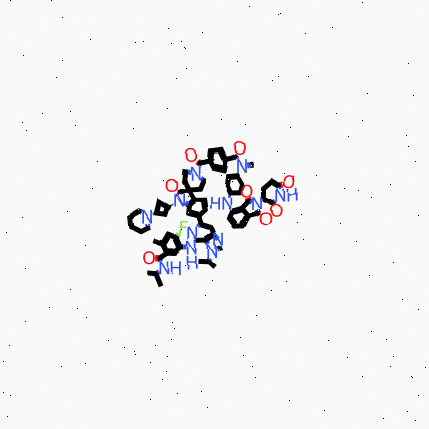 Cc1cc(F)c(Nc2nc(-c3ccc4c(c3)N([C@H]3C[C@@H](N5CCCCC5)C3)C(=O)C43CCN(C(=O)c4ccc(C(=O)N(C)[C@H]5CC[C@H](Nc6cccc7c6C(=O)N(C6CCC(=O)NC6=O)C7=O)CC5)cc4)CC3)cc3ncn(C(C)C)c23)cc1C(=O)NC(C)C